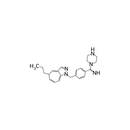 CCCC1C=CC=c2c(cnn2Cc2ccc(C(=N)N3CCNCC3)cc2)=C1